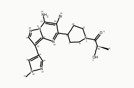 C[C@@H](O)C(=O)N1CCC(c2nc3c(-c4cnn(C)c4)cnn3c(N)c2Br)CC1